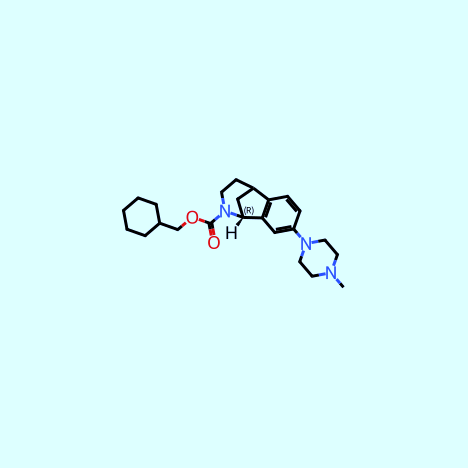 CN1CCN(c2ccc3c(c2)[C@H]2CC3CCN2C(=O)OCC2CCCCC2)CC1